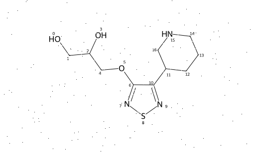 OCC(O)COc1nsnc1C1CCCNC1